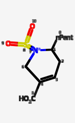 CCCCCC1CC=C(C(=O)O)C[N+]1=S(=O)=O